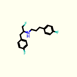 FCC(Cc1ccc(F)cc1)NCCCc1ccc(F)cc1